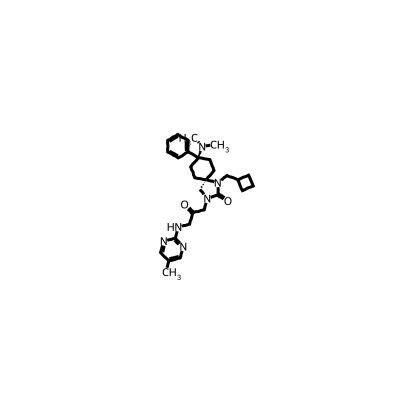 Cc1cnc(NCC(=O)CN2C[C@]3(CC[C@](c4ccccc4)(N(C)C)CC3)N(CC3CCC3)C2=O)nc1